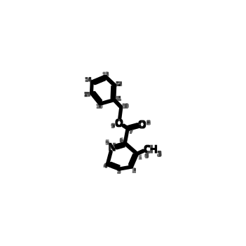 Cc1cccnc1C(=O)OCc1ccccc1